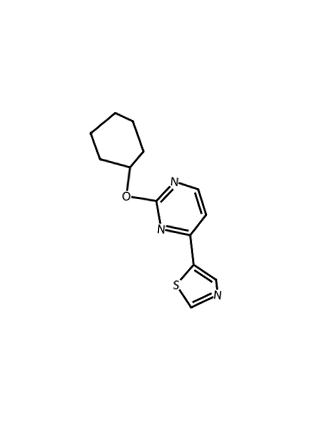 c1cc(-c2cncs2)nc(OC2CCCCC2)n1